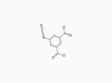 O=C=Nc1cc(C(=O)Cl)cc(C(=O)Cl)c1